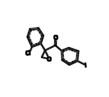 O=C(c1ccc(I)cc1)C1(c2ccccc2Cl)CO1